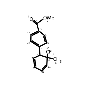 COC(=O)c1ccc(C2C=CC=CC2(C)C(F)(F)F)cc1